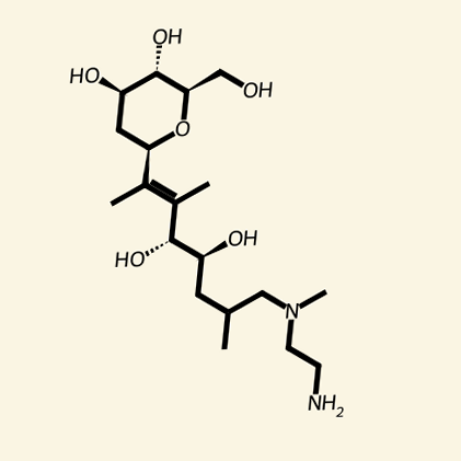 C/C(=C(/C)[C@H]1C[C@@H](O)[C@H](O)[C@@H](CO)O1)[C@@H](O)[C@@H](O)CC(C)CN(C)CCN